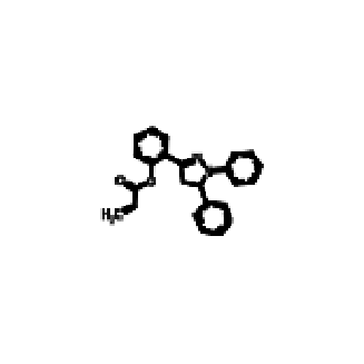 C=CC(=O)Oc1ccccc1C1=NN(c2ccccc2)C(c2ccccc2)C1